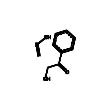 C=NO.O=C(CO)c1ccccc1